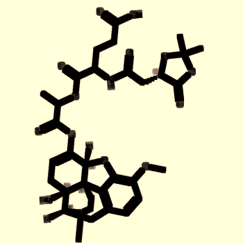 COc1ccc2c3c1O[C@H]1C(OC(=O)C(C)OC(=O)C(CCC(=O)O)NC(=O)C[C@@H]4OC(C)(C)OC4=O)=CC[C@@]4(O)[C@@H](C2)N(C)CC[C@]314